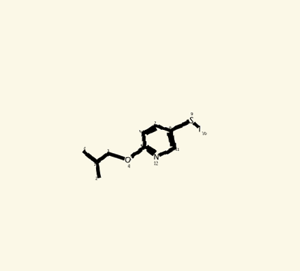 CC(C)COc1ccc(SI)cn1